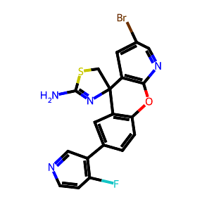 NC1=NC2(CS1)c1cc(-c3cnccc3F)ccc1Oc1ncc(Br)cc12